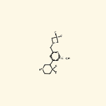 Cl.Cl.FC1(F)CN(Cc2cc(C3CNCCC3(F)F)ccn2)C1